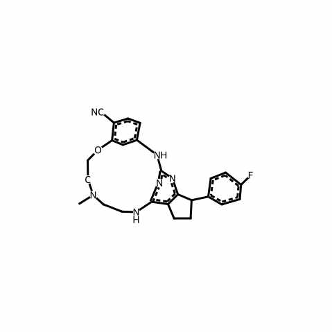 CN1CCNc2nc(nc3c2CCC3c2ccc(F)cc2)Nc2ccc(C#N)c(c2)OCC1